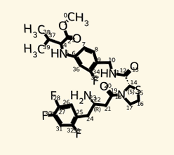 COC(=O)C(Nc1ccc(CNC(=O)[C@@H]2SCCN2C(=O)C[C@H](N)Cc2cc(F)c(F)cc2F)c(F)c1)C(C)C